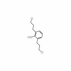 Oc1c(CCCCl)cccc1CCCCl